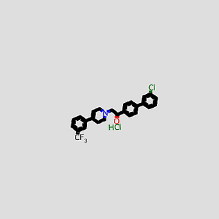 Cl.O=C(CN1CC=C(c2cccc(C(F)(F)F)c2)CC1)c1ccc(-c2cccc(Cl)c2)cc1